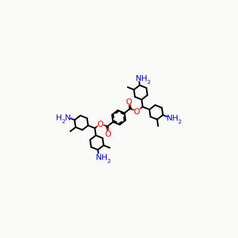 CC1CC(C(OC(=O)c2ccc(C(=O)OC(C3CCC(N)C(C)C3)C3CCC(N)C(C)C3)cc2)C2CCC(N)C(C)C2)CCC1N